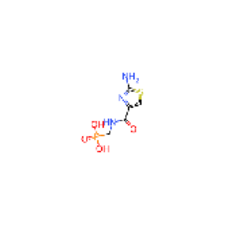 Nc1nc(C(=O)NCP(=O)(O)O)cs1